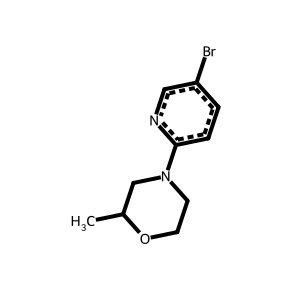 CC1CN(c2ccc(Br)cn2)CCO1